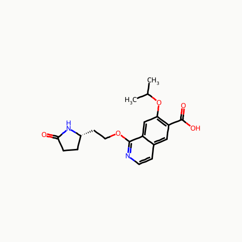 CC(C)Oc1cc2c(OCC[C@@H]3CCC(=O)N3)nccc2cc1C(=O)O